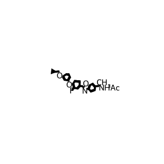 CC(=O)NC(C)c1ccc2nc(-c3ccc(Oc4cccc(OCC5CC5)c4)c(F)c3)oc2c1